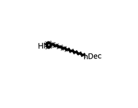 [CH2]CCCCCCCCCCCCCCCCCCCCCCCCCCC1CCNCC1